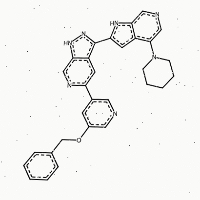 c1ccc(COc2cncc(-c3cc4c(-c5cc6c(N7CCCCC7)cncc6[nH]5)n[nH]c4cn3)c2)cc1